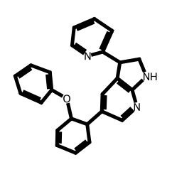 C1=CC(Oc2ccccc2)C(c2cnc3c(c2)C(c2ccccn2)CN3)C=C1